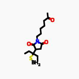 BSC(CC)(CC)C1CC(=O)N(CCCCCC(C)=O)C1=O